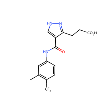 Cc1cc(NC(=O)c2c[nH]nc2CCC(=O)O)ccc1C(F)(F)F